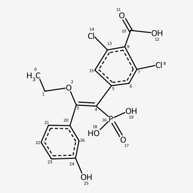 CCOC(=C(c1cc(Cl)c(C(=O)O)c(Cl)c1)P(=O)(O)O)c1cccc(O)c1